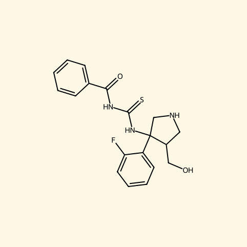 O=C(NC(=S)NC1(c2ccccc2F)CNCC1CO)c1ccccc1